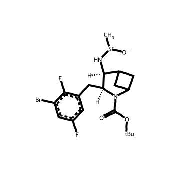 C[S+]([O-])N[C@H]1C2CC(C2)N(C(=O)OC(C)(C)C)[C@H]1Cc1cc(F)cc(Br)c1F